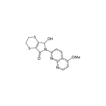 COc1ccnc2nc(N3C(=O)C4=C(SCCS4)C3O)ccc12